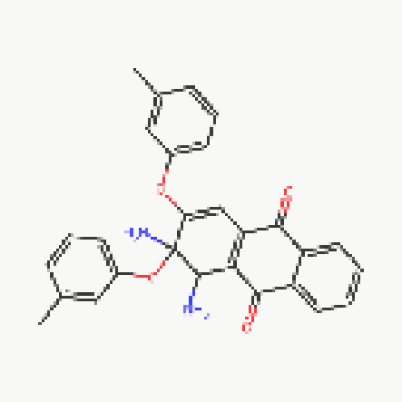 Cc1cccc(OC2=CC3=C(C(=O)c4ccccc4C3=O)C(N)C2(N)Oc2cccc(C)c2)c1